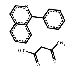 CC(=O)CC(C)=O.c1ccc(-c2nccc3ccccc23)cc1